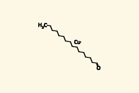 CCCCCCCCCCCCCCCC=O.[Cu]